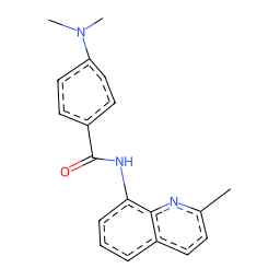 Cc1ccc2cccc(NC(=O)c3ccc(N(C)C)cc3)c2n1